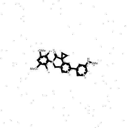 COc1cc(OC)c(F)c(N2Cc3cnc(-c4cncc(NSC)c4)cc3C3(CC3)C2=O)c1F